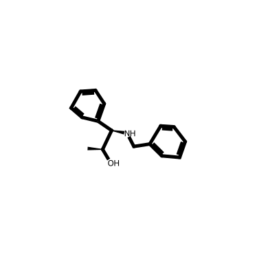 C[C@H](O)[C@H](NCc1ccccc1)c1ccccc1